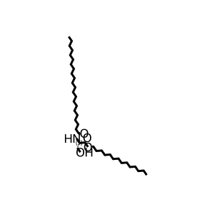 CCCCCCCCCCCCCCCCCCCCCC(=O)N[C@@H](CO)C(=O)OCCCCCCCCCCCCCC